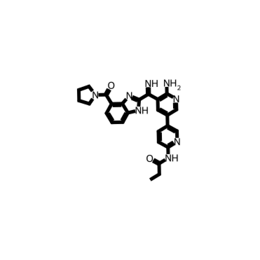 CCC(=O)Nc1ccc(-c2cnc(N)c(C(=N)c3nc4c(C(=O)N5CCCC5)cccc4[nH]3)c2)cn1